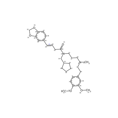 COc1ccc(CCN(C)CCCN(CC2CCCC2)C(=O)C/C=C/c2ccc3c(c2)OCO3)cc1OC